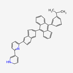 CC(C)c1cccc(-c2c3ccccc3c(-c3ccc4cc(-c5cccc(C6=CNCC=C6)n5)ccc4c3)c3ccccc23)c1